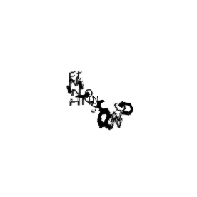 CCN1CCN(CC(=O)Nc2nc(C)c(-c3ccc4cnn(C5CCCCO5)c4c3)s2)CC1